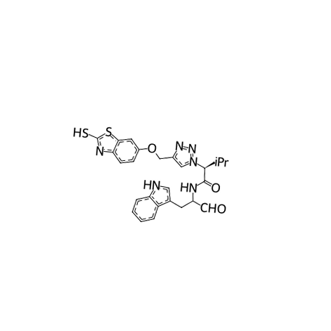 CC(C)[C@@H](C(=O)NC(C=O)Cc1c[nH]c2ccccc12)n1cc(COc2ccc3nc(S)sc3c2)nn1